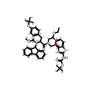 CCOC(CN(Cc1cccc2sc(NC(=O)OC(C)(C)C)nc12)C(=O)C(Cc1ccc(OC(C)(C)C)cc1)N(C(=O)OC)C1c2ccccc2-c2ccccc21)OCC